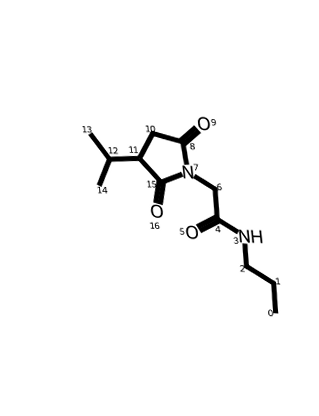 CCCNC(=O)CN1C(=O)CC(C(C)C)C1=O